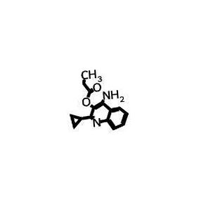 CCC(=O)Oc1c(C2CC2)nc2ccccc2c1N